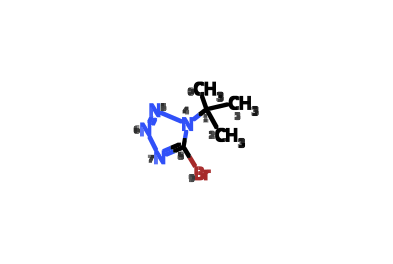 CC(C)(C)n1nnnc1Br